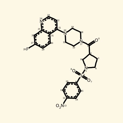 O=C(C1CCN(S(=O)(=O)c2ccc([N+](=O)[O-])cc2)C1)N1CCN(c2ccnc3cc(F)ccc23)CC1